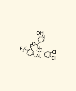 CN(Cc1ccc(C(F)(F)F)c(F)c1)[C@@H]1CN(C(=O)c2ccnc(O)c2)C[C@@H]1c1ccc(Cl)c(Cl)c1